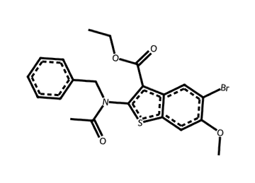 CCOC(=O)c1c(N(Cc2ccccc2)C(C)=O)sc2cc(OC)c(Br)cc12